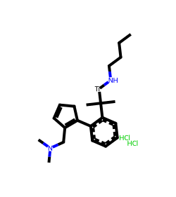 CCCC[NH][Ti][C](C)(C)c1ccccc1C1=C(CN(C)C)C=CC1.Cl.Cl